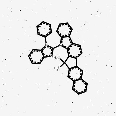 CC1(C)c2cc3ccccc3cc2-c2ccc3c4ccccc4n(-c4nc5ccccc5n4-c4ccccc4)c3c21